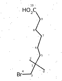 CC(C)(CBr)CCCCCC(=O)O